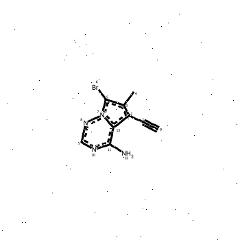 C#Cc1c(C)c(Br)n2ncnc(N)c12